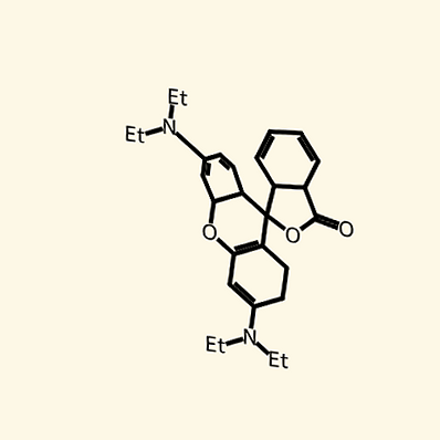 CCN(CC)C1=CC2OC3=C(CCC(N(CC)CC)=C3)C3(OC(=O)C4C=CC=CC43)C2C=C1